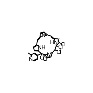 Cc1cc(C2(Cl)c3ccc([nH]3)C=C3C=CC(=N3)C=C3[CH]C(Cl)C(Cl)(N3)C(Cl)C3=NC2(Cl)C=C3)ccn1